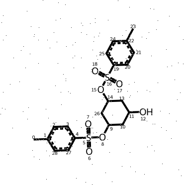 Cc1ccc(S(=O)(=O)OC2CC(O)CC(OS(=O)(=O)c3ccc(C)cc3)C2)cc1